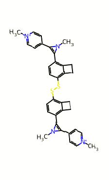 CN1C(c2cc[n+](C)cc2)=C1c1ccc(SSc2ccc(C3=C(c4cc[n+](C)cc4)N3C)c3c2CC3)c2c1CC2